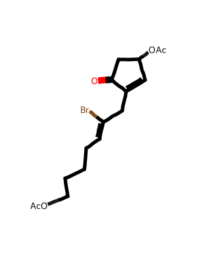 CC(=O)OCCCCC=C(Br)CC1=CC(OC(C)=O)CC1=O